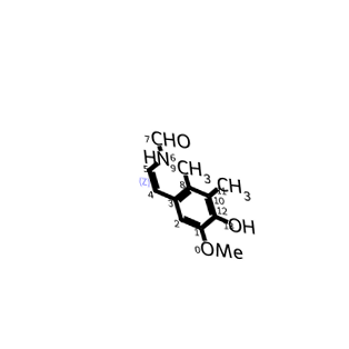 COc1cc(/C=C\NC=O)c(C)c(C)c1O